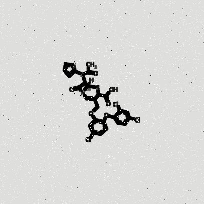 CC(=O)N(c1cccs1)C1C(=O)N2C=C(COc3cc(Cl)ccc3Oc3ccc(Cl)cc3Cl)C(C(=O)O)S[C@H]12